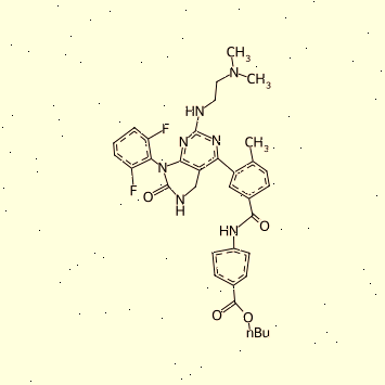 CCCCOC(=O)c1ccc(NC(=O)c2ccc(C)c(-c3nc(NCCN(C)C)nc4c3CNC(=O)N4c3c(F)cccc3F)c2)cc1